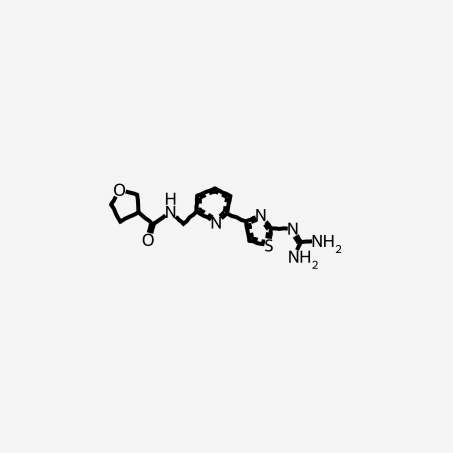 NC(N)=Nc1nc(-c2cccc(CNC(=O)C3CCOC3)n2)cs1